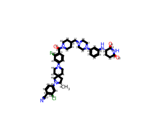 C[C@H]1CC2(CCN(c3ccc(C(=O)N4CCC(CN5CCN(c6cccc(N[C@H]7CCC(=O)NC7=O)c6)CC5)CC4)c(F)c3)CC2)CN1c1ccc(C#N)c(Cl)c1